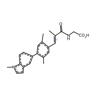 C/C(=C\c1cc(C)c(-c2ccc3c(ccn3C)c2)cc1C)C(=O)NCC(=O)O